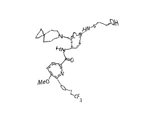 COc1ccc(C(=O)Nc2ccc(NSCCO)cc2N2CCC3(CC2)CC3)nc1OCCC(F)(F)F